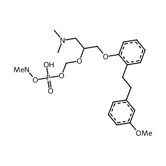 CNOP(=O)(O)OCOC(COc1ccccc1CCc1cccc(OC)c1)CN(C)C